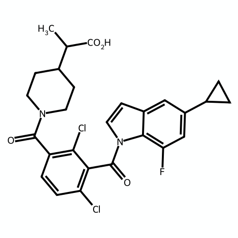 CC(C(=O)O)C1CCN(C(=O)c2ccc(Cl)c(C(=O)n3ccc4cc(C5CC5)cc(F)c43)c2Cl)CC1